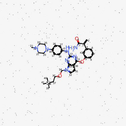 C=C(C(N)=O)c1cccc(Oc2nc(Nc3ccc(N4CCN(C)CC4)cc3)nc3c2ccn3COCC[Si](C)(C)C)c1